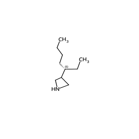 CCCC[C@H](CC)C1CNC1